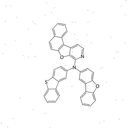 c1ccc2c(c1)ccc1oc3c(N(c4ccc5oc6ccccc6c5c4)c4ccc5sc6ccccc6c5c4)nccc3c12